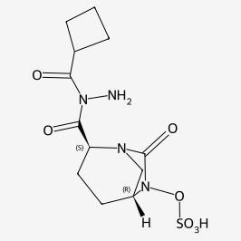 NN(C(=O)C1CCC1)C(=O)[C@@H]1CC[C@@H]2CN1C(=O)N2OS(=O)(=O)O